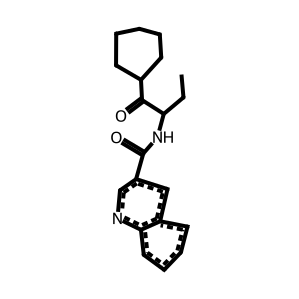 CCC(NC(=O)c1cnc2ccccc2c1)C(=O)C1CCCCC1